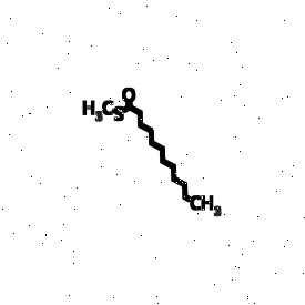 CCCCCCCCCCCC(=O)SC